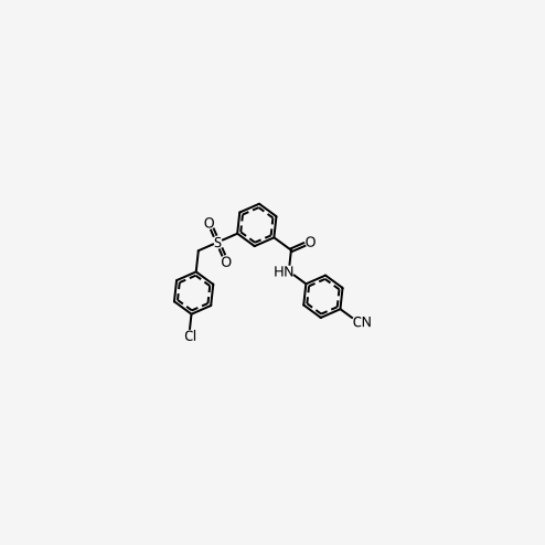 N#Cc1ccc(NC(=O)c2cccc(S(=O)(=O)Cc3ccc(Cl)cc3)c2)cc1